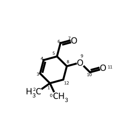 CC1(C)C=CC(C=O)C(OC=O)C1